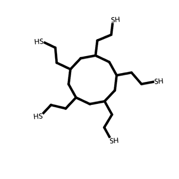 SCCC1CC(CCS)CC(CCS)CC(CCS)CC(CCS)C1